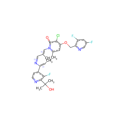 C\C=C(/N=C\C(C)=C\n1c(C)cc(OCc2ncc(F)cc2F)c(Cl)c1=O)c1ccnc(C(C)(C)O)c1F